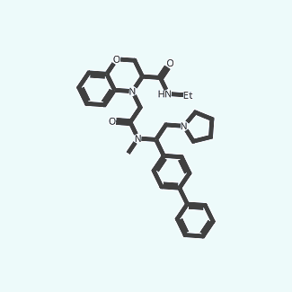 CCNC(=O)C1COc2ccccc2N1CC(=O)N(C)C(CN1CCCC1)c1ccc(-c2ccccc2)cc1